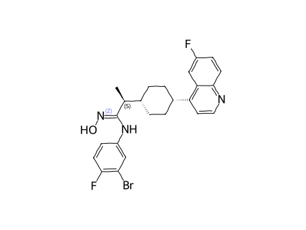 C[C@H](/C(=N/O)Nc1ccc(F)c(Br)c1)[C@H]1CC[C@@H](c2ccnc3ccc(F)cc32)CC1